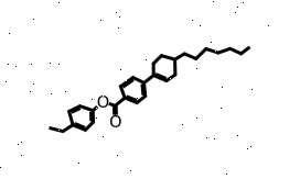 CCCCCCCC1CC=C(c2ccc(C(=O)Oc3ccc(CC)cc3)cc2)CC1